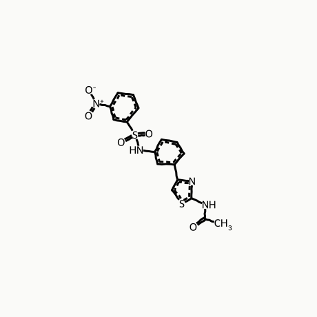 CC(=O)Nc1nc(-c2cccc(NS(=O)(=O)c3cccc([N+](=O)[O-])c3)c2)cs1